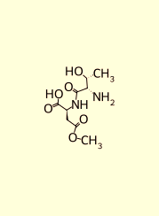 COC(=O)C[C@H](NC(=O)[C@@H](N)[C@@H](C)O)C(=O)O